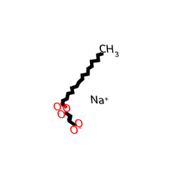 CCCCCCCCCCCCCCCCCC(=O)OC(=O)C=CC(=O)[O-].[Na+]